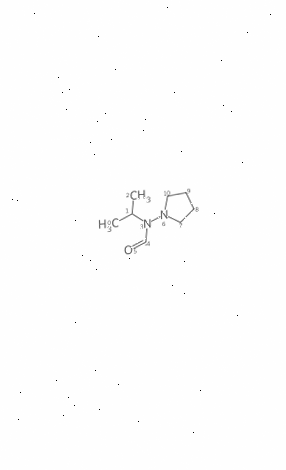 CC(C)N([C]=O)N1CCCC1